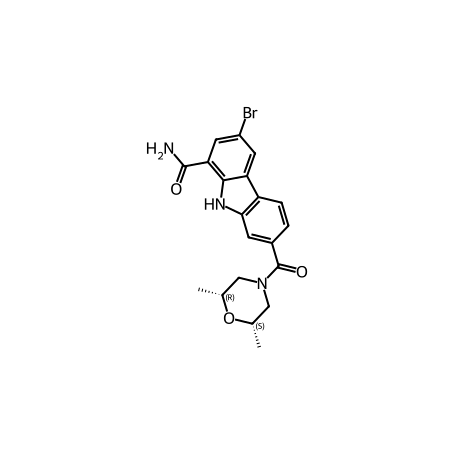 C[C@@H]1CN(C(=O)c2ccc3c(c2)[nH]c2c(C(N)=O)cc(Br)cc23)C[C@H](C)O1